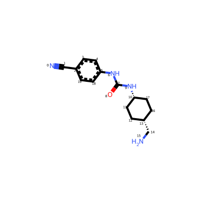 N#Cc1ccc(NC(=O)N[C@H]2CC[C@@H](CN)CC2)cc1